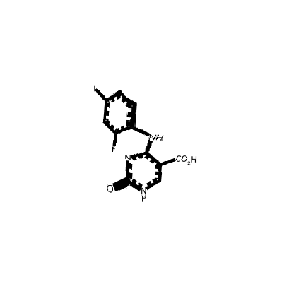 O=C(O)c1c[nH]c(=O)nc1Nc1ccc(I)cc1F